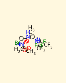 Cc1cc(Cn2cc(C(F)(F)C(F)(F)F)c(C(F)(F)C(F)(F)F)n2)ccc1NC(=O)c1cccc(Br)c1C(=O)N[C@@H](C)CS(C)(=O)=O